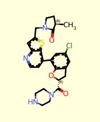 C[C@@H]1CCN(Cc2cc3nccc(-c4cc(Cl)cc5c4O[C@@H](C(=O)N4CCNCC4)C5)c3s2)C1=O